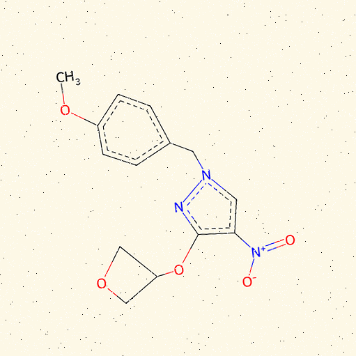 COc1ccc(Cn2cc([N+](=O)[O-])c(OC3COC3)n2)cc1